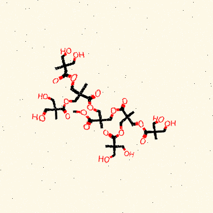 COC(=O)C(C)(COC(=O)C(C)(COC(=O)C(C)(CO)CO)COC(=O)C(C)(CO)CO)COC(=O)C(C)(COC(=O)C(C)(CO)CO)COC(=O)C(C)(CO)CO